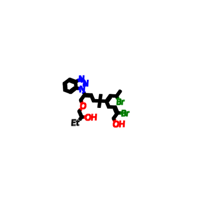 CCC(O)COC/C(=C\CC(C)(C)/C(=C/C(C)Br)C/C=C(/Br)CO)n1nnc2ccccc21